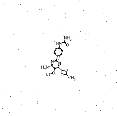 CCOc1c(N)nc(-c2ccc(NC(N)=O)cc2)nc1C1OC(C)O1